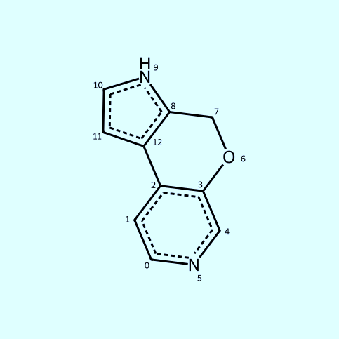 c1cc2c(cn1)OCc1[nH]ccc1-2